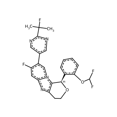 CC(C)(F)c1ncc(-c2cn3c4c(nc3cc2F)CCO[C@@H]4c2ccccc2OC(F)F)cn1